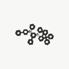 c1ccc(-c2ccc(N(c3ccccc3)c3cc(-c4ccccc4)cc(N(c4ccccc4)c4cccc5c4-c4ccccc4C5(c4ccccc4)c4ccccc4)c3)cc2)cc1